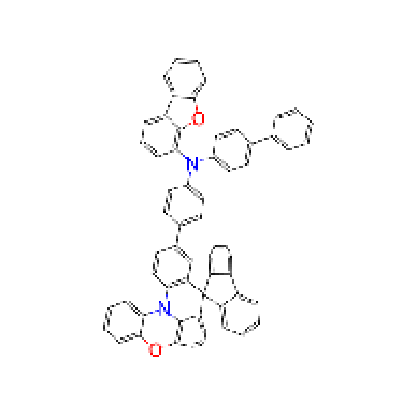 c1ccc(-c2ccc(N(c3ccc(-c4ccc5c(c4)C4(c6ccccc6-c6ccccc64)c4cccc6c4N5c4ccccc4O6)cc3)c3cccc4c3oc3ccccc34)cc2)cc1